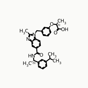 Cc1nc2cc(C(=O)N[C@@H](C)c3cccc(C(C)C)c3)ccc2n1Cc1cccc(O[C@@H](C)C(=O)O)c1